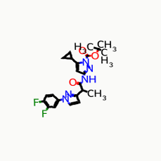 CC(C(=O)Nc1cc(C2CC2)n(C(=O)OC(C)(C)C)n1)c1ccn(-c2ccc(F)c(F)c2)n1